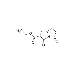 CCOC(=O)C1CC2CCC(=O)N2C1=O